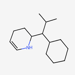 CC(C)C(C1CCCCC1)C1CCC=CN1